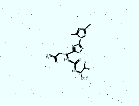 Cc1cc(C)n(-c2noc([C@H](CC(N)=O)NC(=O)N[C@H](C(=O)O)C(C)O)n2)n1